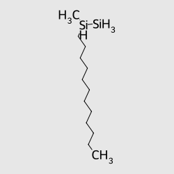 CCCCCCCCCCCC[SiH](C)[SiH3]